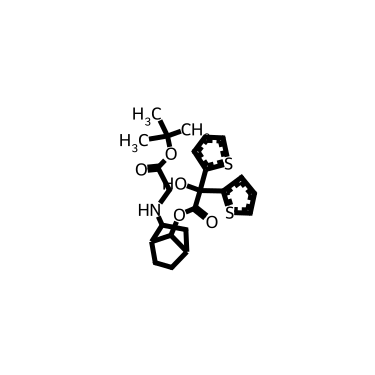 CC(C)(C)OC(=O)CNC1CC2CCC1C2OC(=O)C(O)(c1cccs1)c1cccs1